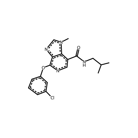 CC(C)CNC(=O)c1cnc(Oc2cccc(Cl)c2)c2ncn(C)c12